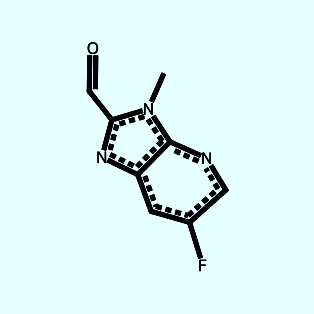 Cn1c(C=O)nc2cc(F)cnc21